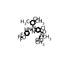 COC(=O)CN(C)C(=O)c1cc2nc(Nc3ccc(OC(F)(F)F)cc3)n([C@H]3C[C@@H](C)CC(C)(C)C3)c2cc1Cl